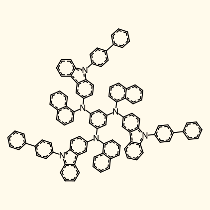 c1ccc(-c2ccc(-n3c4ccccc4c4cc(N(c5cc(N(c6ccc7c(c6)c6ccccc6n7-c6ccc(-c7ccccc7)cc6)c6cccc7ccccc67)cc(N(c6ccc7c(c6)c6ccccc6n7-c6ccc(-c7ccccc7)cc6)c6cccc7ccccc67)c5)c5cccc6ccccc56)ccc43)cc2)cc1